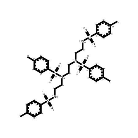 Cc1ccc(S(=O)(=O)NCCN(CCN(CCNS(=O)(=O)c2ccc(C)cc2)S(=O)(=O)c2ccc(C)cc2)S(=O)(=O)c2ccc(C)cc2)cc1